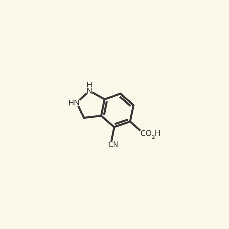 N#Cc1c(C(=O)O)ccc2c1CNN2